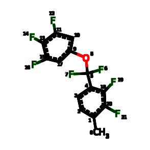 Cc1ccc(C(F)(F)Oc2cc(F)c(F)c(F)c2)c(F)c1F